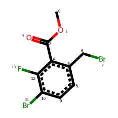 COC(=O)c1c(CBr)ccc(Br)c1F